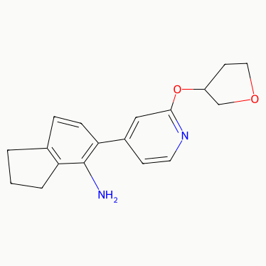 Nc1c(-c2ccnc(OC3CCOC3)c2)ccc2c1CCC2